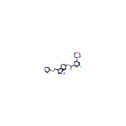 O=C(Nc1ccc2c(CCc3ccncc3)c[nH]c2c1)c1cc(F)cc(N2CCOCC2)c1